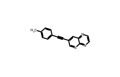 Cc1ccc(C#Cc2cnc3nccnc3c2)cc1